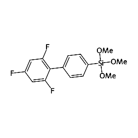 CO[Si](OC)(OC)c1ccc(-c2c(F)cc(F)cc2F)cc1